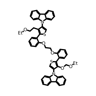 CCOCCc1c(-n2c3ccccc3c3ccccc32)csc1-c1ccccc1OCCOc1ccccc1-c1scc(-n2c3ccccc3c3ccccc32)c1OCOCC